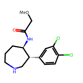 COCC(=O)N[C@@H]1CCCNC[C@H]1c1ccc(Cl)c(Cl)c1